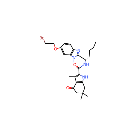 CCCC[C@H](NC(=O)c1[nH]c2c(c1C)C(=O)CC(C)(C)C2)c1nc2ccc(OCCBr)cc2[nH]1